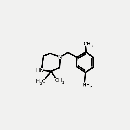 Cc1ccc(N)cc1CN1CCNC(C)(C)C1